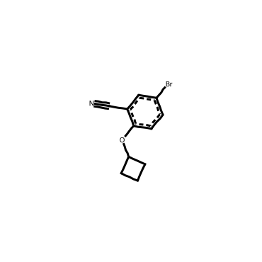 N#Cc1cc(Br)ccc1OC1CCC1